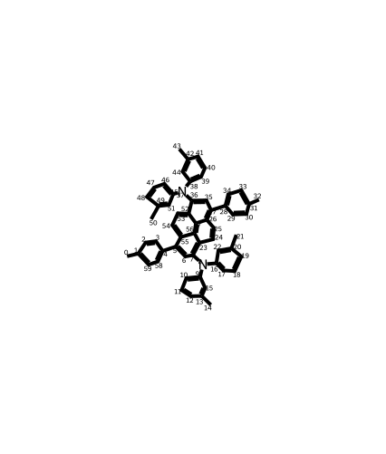 Cc1ccc(-c2cc(N(c3cccc(C)c3)c3cccc(C)c3)c3ccc4c(-c5ccc(C)cc5)cc(N(c5cccc(C)c5)c5cccc(C)c5)c5ccc2c3c45)cc1